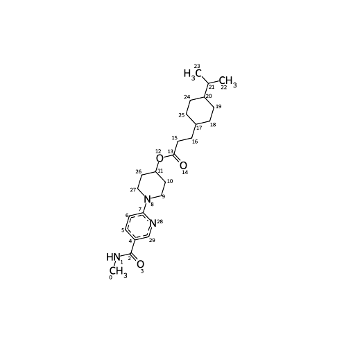 CNC(=O)c1ccc(N2CCC(OC(=O)CCC3CCC(C(C)C)CC3)CC2)nc1